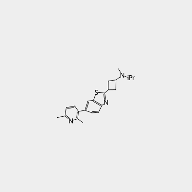 Cc1ccc(-c2ccc3nc(C4CC(N(C)C(C)C)C4)sc3c2)c(C)n1